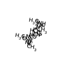 COc1nc(NC(=O)c2ccc(N3C[C@@H](C)N[C@H](C)C3)c3csnc23)cn2cc(C)nc12